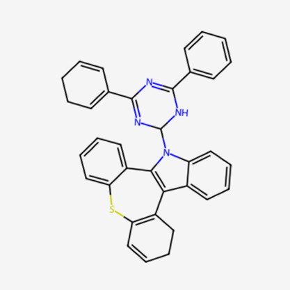 C1=CC(C2=NC(n3c4c(c5ccccc53)C3=C(C=CCC3)Sc3ccccc3-4)NC(c3ccccc3)=N2)=CCC1